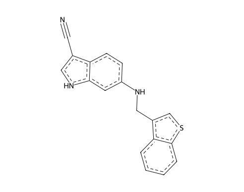 N#Cc1c[nH]c2cc(NCc3csc4ccccc34)ccc12